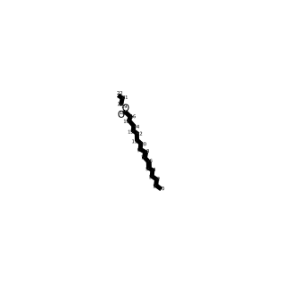 CCCCC/C=C/C=C/CCCCCCCCC(=O)OCCC